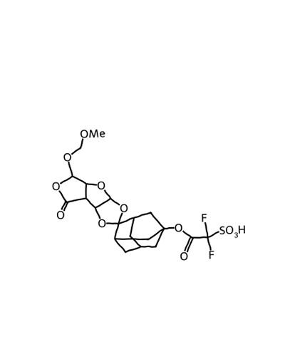 COCOC1OC(=O)C2C1OC1OC3(OC12)C1CC2CC3CC(OC(=O)C(F)(F)S(=O)(=O)O)(C2)C1